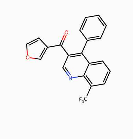 O=C(c1ccoc1)c1cnc2c(C(F)(F)F)cccc2c1-c1ccccc1